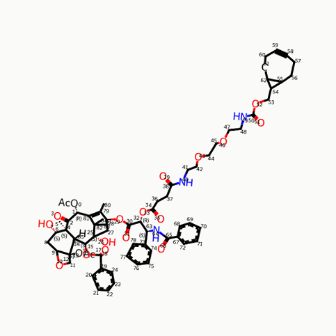 CC(=O)O[C@H]1C(=O)[C@]2(C)[C@@H](O)CC3OC[C@@]3(OC(C)=O)[C@H]2[C@H](OC(=O)c2ccccc2)[C@]2(O)C[C@H](OC(=O)[C@H](OC(=O)CCC(=O)NCCOCCOCCNC(=O)OCC3C4CCC#CCCC43)[C@@H](NC(=O)c3ccccc3)c3ccccc3)C(C)=C1C2(C)C